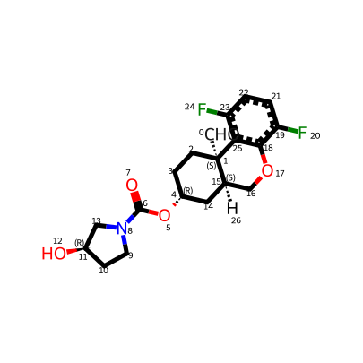 O=C[C@@]12CC[C@@H](OC(=O)N3CC[C@@H](O)C3)C[C@@H]1COc1c(F)ccc(F)c12